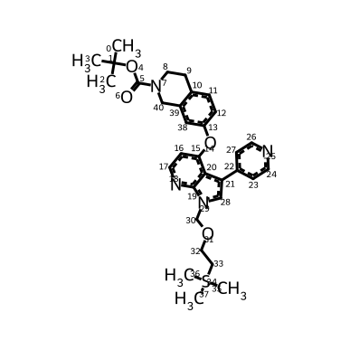 CC(C)(C)OC(=O)N1CCc2ccc(Oc3ccnc4c3c(-c3ccncc3)cn4COCCS(C)(C)C)cc2C1